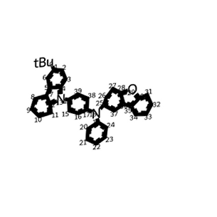 CC(C)(C)c1ccc2c(c1)c1ccccc1n2-c1ccc(N(c2ccccc2)c2ccc3oc4ccccc4c3c2)cc1